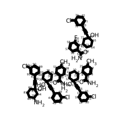 Cc1ccc(C(N)=O)c([C@H]2CCC[C@@](O)(C#Cc3cccc(Cl)c3)C2)c1.Cc1ccc(C(N)=O)c([C@H]2CCC[C@@](O)(C#Cc3cccc(Cl)c3)C2)c1.NC(=O)c1cccc(F)c1[C@H]1CCC[C@@](O)(C#Cc2cccc(Cl)c2)C1.N[C@H]1CCC[C@@](O)(C#Cc2cccc(Cl)c2)C1